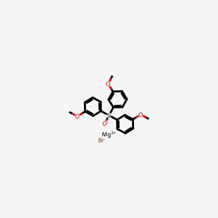 COc1cccc([Si]([O-])(c2cccc(OC)c2)c2cccc(OC)c2)c1.[Br-].[Mg+2]